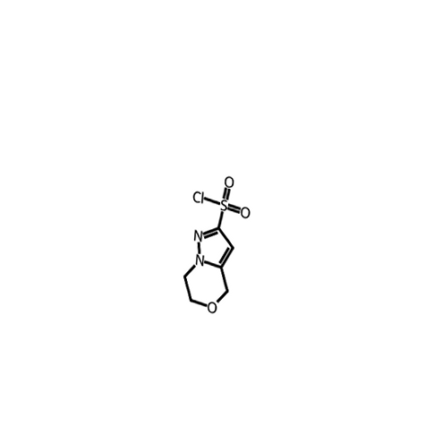 O=S(=O)(Cl)c1cc2n(n1)CCOC2